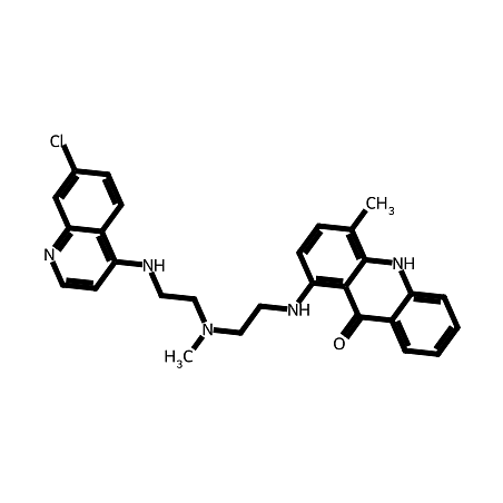 Cc1ccc(NCCN(C)CCNc2ccnc3cc(Cl)ccc23)c2c(=O)c3ccccc3[nH]c12